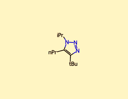 CCCc1c(C(C)(C)C)nnn1C(C)C